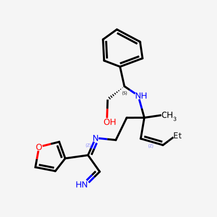 CC/C=C\C(C)(CC/N=C(\C=N)c1ccoc1)N[C@H](CO)c1ccccc1